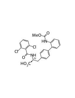 COC(=O)Nc1ccccc1-c1ccc(C[C@H](NC(=O)c2c(Cl)cccc2Cl)C(=O)O)cc1